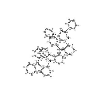 c1ccc(-c2cc(-c3cccc4c5ccc6c(c7ccccc7n6-c6cccc7c8ccccc8n(-c8ccccc8)c67)c5n(-c5ccccc5)c34)nc(-c3ccccc3)n2)cc1